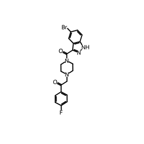 O=C(CN1CCN(C(=O)c2n[nH]c3ccc(Br)cc23)CC1)c1ccc(F)cc1